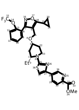 CC[C@@H]1C[C@H](OCc2c(-c3ccccc3OC(F)(F)F)noc2C2CC2)CCN1c1nc(-c2ccc(C(=O)OC)nc2)cs1